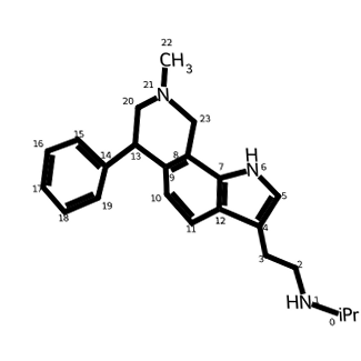 CC(C)NCCc1c[nH]c2c3c(ccc12)C(c1ccccc1)CN(C)C3